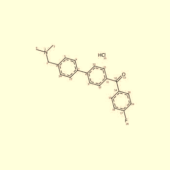 CN(C)Cc1ccc(-c2ccc(C(=O)c3ccc(F)cc3)cc2)cc1.Cl